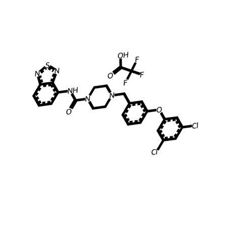 O=C(Nc1cccc2nsnc12)N1CCN(Cc2cccc(Oc3cc(Cl)cc(Cl)c3)c2)CC1.O=C(O)C(F)(F)F